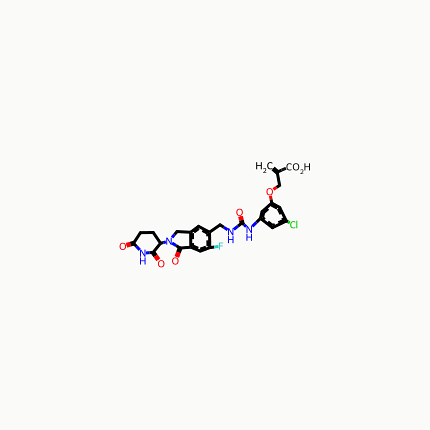 C=C(COc1cc(Cl)cc(NC(=O)NCc2cc3c(cc2F)C(=O)N(C2CCC(=O)NC2=O)C3)c1)C(=O)O